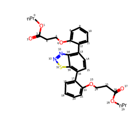 CCCOC(=O)CCOc1ccccc1-c1ccc(-c2ccccc2OCCC(=O)OCCC)c2snnc12